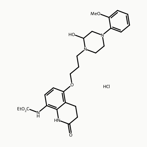 CCOC(=O)Nc1ccc(OCCCN2CCN(c3ccccc3OC)CC2O)c2c1NC(=O)CC2.Cl